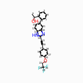 CC(O)c1ccccc1-c1ccc2[nH]c(C#Cc3ccc(OCC(F)(F)F)cc3)nc2c1